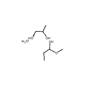 CC(O)CO.CCC(O)OC.O